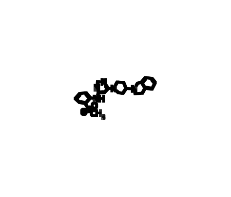 CS(=O)(=O)c1ccccc1Nc1cc(N2CCC(N3CCc4ccccc4C3)CC2)ncn1